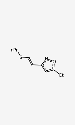 CCCSC=Cc1cc(CC)on1